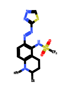 CCCN1c2ccc(N=Nc3nncs3)c(NS(=O)(=O)C(F)(F)F)c2CCC1CC